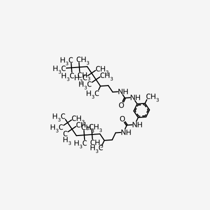 Cc1ccc(NC(=O)NCCC(C)CC(C)(C)C(C)(C)CC(C)(C)C(C)(C)C)cc1NC(=O)NCCC(C)C(C)(C)C(C)(C)CC(C)(C)C(C)(C)C